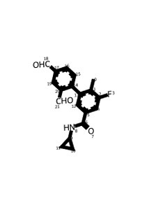 Cc1c(F)cc(C(=O)NC2CC2)cc1-c1ccc(C=O)cc1C=O